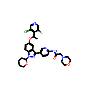 CC(Oc1ccc2c(c1)c(-c1ccc(NC(=O)CN3CCOCC3)nc1)nn2C1CCCCO1)c1c(Cl)cncc1Cl